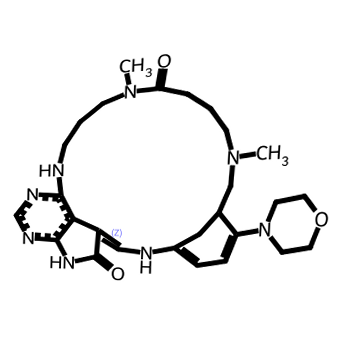 CN1CCCC(=O)N(C)CCCNc2ncnc3c2/C(=C/NC2=CC=C(N4CCOCC4)C(C2)C1)C(=O)N3